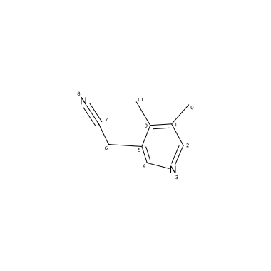 Cc1cncc(CC#N)c1C